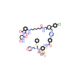 CC1(CNC(=O)CCCCCCNc2cccc3c2C(=O)N(C2CCC(=O)NC2=O)C3=O)CCC(c2ccc(Cl)cc2)=C(CN2CCN(c3ccc(C(=O)NSc4ccc(N[C@H](CCN5CCOCC5)CSc5ccccc5)c(S(=O)(=O)C(F)(F)F)c4)cc3)CC2)C1